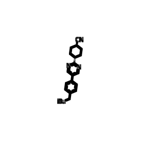 CCC(C)Cc1ccc(-c2cnc([C@H]3CC[C@H](C#N)CC3)nc2)cc1